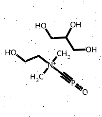 C[N+](C)(C#P=O)CCO.OCC(O)CO